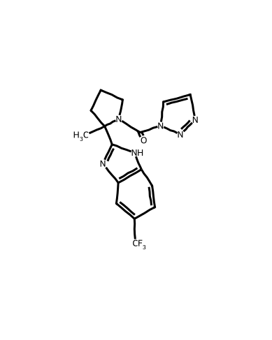 CC1(c2nc3cc(C(F)(F)F)ccc3[nH]2)CCCN1C(=O)n1ccnn1